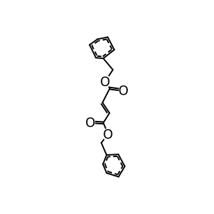 O=C(C=CC(=O)OCc1ccccc1)OCc1ccccc1